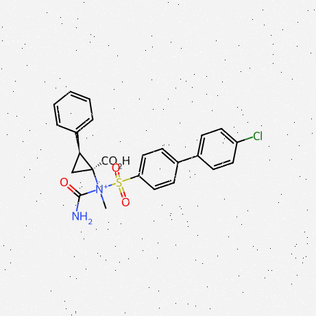 C[N+](C(N)=O)([C@@]1(C(=O)O)C[C@H]1c1ccccc1)S(=O)(=O)c1ccc(-c2ccc(Cl)cc2)cc1